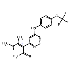 CN/C(C)=C(\C(C)=N)c1cc(Nc2ccc(OC(F)(F)F)cc2)ncn1